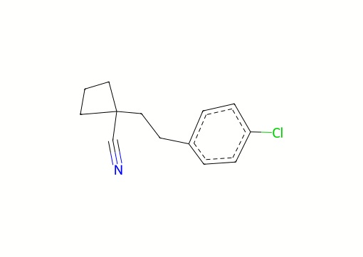 N#CC1(CCc2ccc(Cl)cc2)CCC1